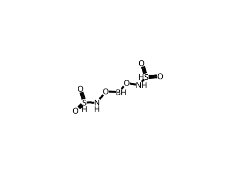 O=[SH](=O)NOBON[SH](=O)=O